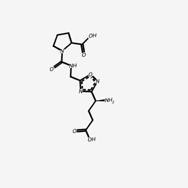 N[C@@H](CCC(=O)O)c1noc(CNC(=O)N2CCCC2C(=O)O)n1